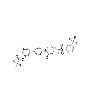 CC(C)([C@H]1CCN(c2ccc(-c3cnc[n+](OC(=O)C(F)(F)F)c3)cc2)C(=O)C1)S(=O)(=O)c1cccc(C(F)(F)F)c1